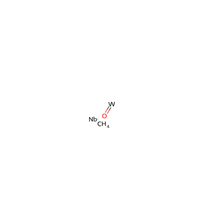 C.[Nb].[O]=[W]